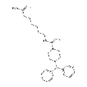 C=C(CCCCCCNC(=C)N1CCN(C(C2=CCCC=C2)c2ccccc2)CC1)NC